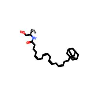 C[C@H](CO)NC(=O)CCC/C=C\C/C=C\C/C=C\C/C=C\CCC12CC3CC(CC(C3)C1)C2